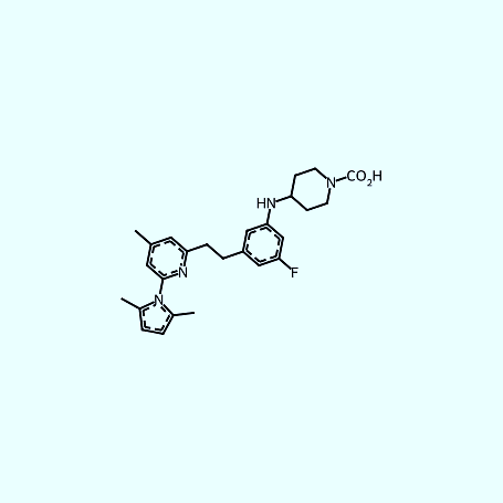 Cc1cc(CCc2cc(F)cc(NC3CCN(C(=O)O)CC3)c2)nc(-n2c(C)ccc2C)c1